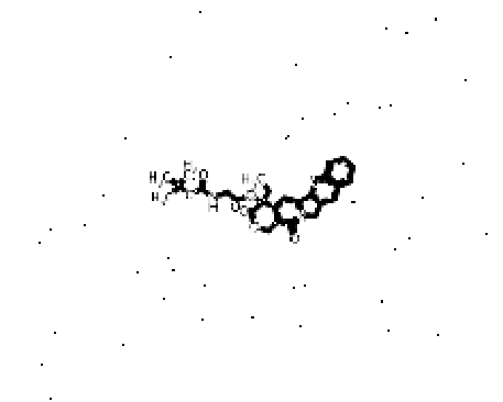 CCC1(OC(=O)CNC(=O)OC(C)(C)C)C(=O)OCc2c1cc1n(c2=O)Cc2cc3ccccc3nc2-1